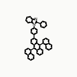 c1ccc(-c2nc3ccccc3n2-c2ccc(-c3ccc4c(-c5cccc6ccccc56)c5ccccc5c(-c5cccc6ccccc56)c4c3)cc2)cc1